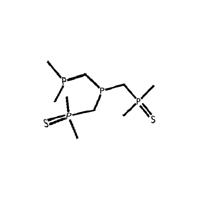 CP(C)CP(CP(C)(C)=S)CP(C)(C)=S